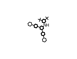 CC(C)(C)c1cc(Nc2cc(-c3ccc(C4CCCCC4)cc3)cc(-c3ccc(C4CCCCC4)cc3)c2)cc(C(C)(C)C)c1